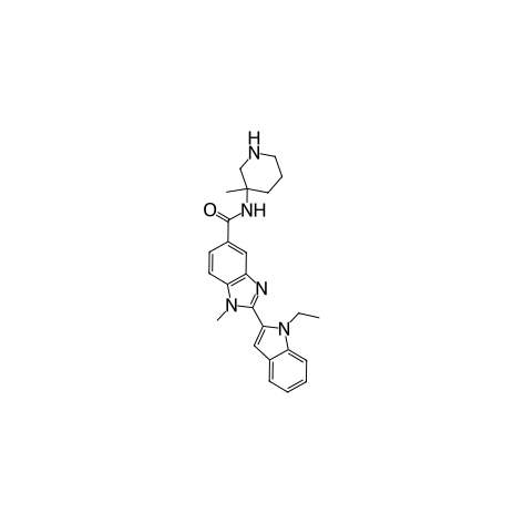 CCn1c(-c2nc3cc(C(=O)NC4(C)CCCNC4)ccc3n2C)cc2ccccc21